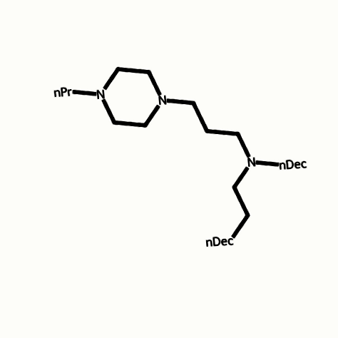 CCCCCCCCCCCCN(CCCCCCCCCC)CCCN1CCN(CCC)CC1